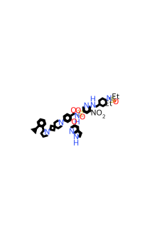 CCS(=O)(CC)=NC1CCC(CNc2ncc(S(=O)(=O)NC(=O)c3ccc(N4CCC5(CC4)CC(N4CCCC4c4ccccc4C4CC4)C5)cc3Oc3cnc4[nH]ccc4c3)cc2[N+](=O)[O-])CC1